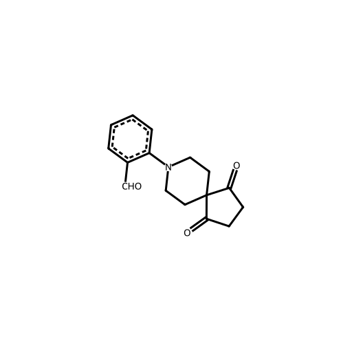 O=Cc1ccccc1N1CCC2(CC1)C(=O)CCC2=O